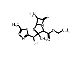 Cc1nnc(C(S)C2(C)SC3C(N)C(=O)N3C2C(=O)OCC(Cl)(Cl)Cl)s1